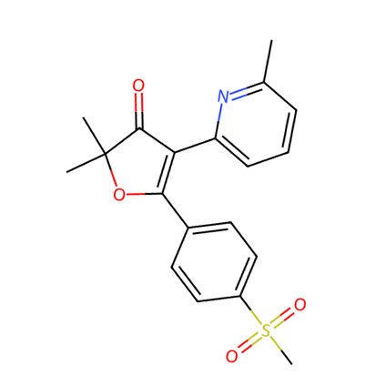 Cc1cccc(C2=C(c3ccc(S(C)(=O)=O)cc3)OC(C)(C)C2=O)n1